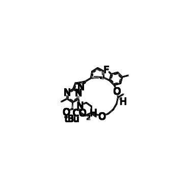 Cc1cc(F)c2c(c1)O[C@@H](C)CCCOC1(C)CCN(CC1)c1c([C@H](OC(C)(C)C)C(=O)O)c(C)nc3cc(nn13)-c1cccc-2c1